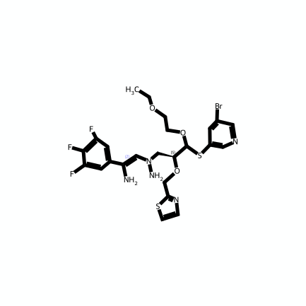 CCOCCOC(Sc1cncc(Br)c1)[C@H](CN(N)/C=C(\N)c1cc(F)c(F)c(F)c1)OCc1nccs1